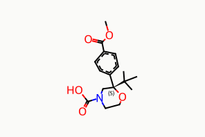 COC(=O)c1ccc([C@@]2(C(C)(C)C)CN(C(=O)O)CCO2)cc1